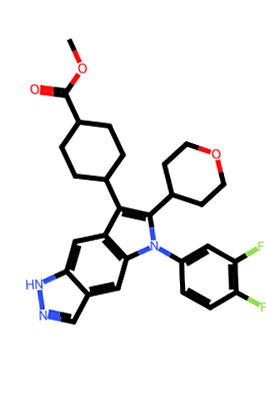 COC(=O)C1CCC(c2c(C3CCOCC3)n(-c3ccc(F)c(F)c3)c3cc4cn[nH]c4cc23)CC1